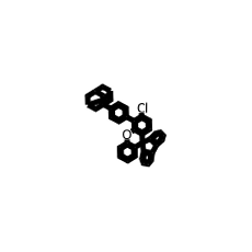 Clc1ccc2c(c1-c1ccc(C34CC5CC(CC(C5)C3)C4)cc1)Oc1ccccc1C21c2ccccc2-c2ccccc21